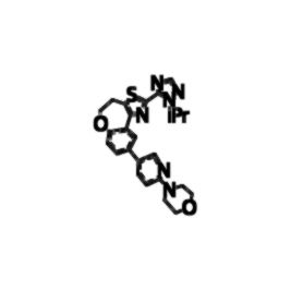 CC(C)n1ncnc1-c1nc2c(s1)CCOc1ccc(-c3ccc(N4CCOCC4)nc3)cc1-2